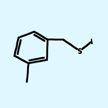 Cc1cccc(CSI)c1